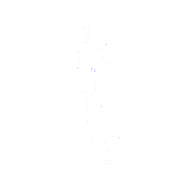 C#C[Si](C)(C)CCC(C)(C)OC(=O)N1CCC(=O)CC1